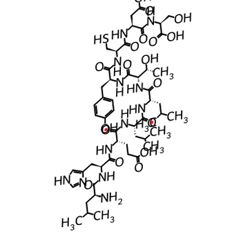 CC(C)C[C@H](NC(=O)[C@H](CCC(=O)O)NC(=O)[C@H](Cc1c[nH]cn1)NC(=O)[C@@H](N)CC(C)C)C(=O)N[C@@H](CC(C)C)C(=O)N[C@H](C(=O)N[C@@H](Cc1ccc(O)cc1)C(=O)N[C@@H](CS)C(=O)N[C@@H](CC(=O)O)C(=O)N[C@@H](CO)C(=O)O)[C@@H](C)O